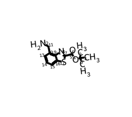 CC(C)(C)OC(=O)c1nc2c(CN)cccc2s1